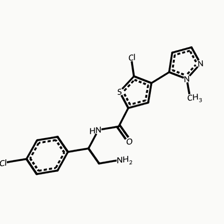 Cn1nccc1-c1cc(C(=O)NC(CN)c2ccc(Cl)cc2)sc1Cl